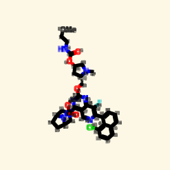 COCCNC(=O)O[C@@H]1C[C@@H](COc2nc(N3CC4CCC(C3)N4C(=O)OC(C)(C)C)c3cnc(-c4cccc5cccc(Cl)c45)c(F)c3n2)N(C)C1